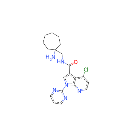 NC1(CNC(=O)c2cn(-c3ncccn3)c3nccc(Cl)c23)CCCCCC1